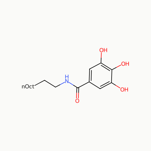 CCCCCCCCCCNC(=O)c1cc(O)c(O)c(O)c1